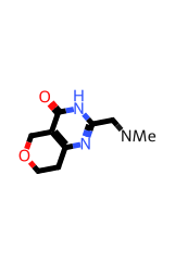 CNCc1nc2c(c(=O)[nH]1)COCC2